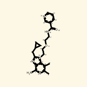 Cc1nc(N)c2nc(CC3CC3)n(CCOCCNC(=O)c3cccnc3)c2c1C